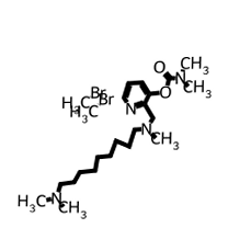 CBr.CBr.CN(C)CCCCCCCCCN(C)Cc1ncccc1OC(=O)N(C)C